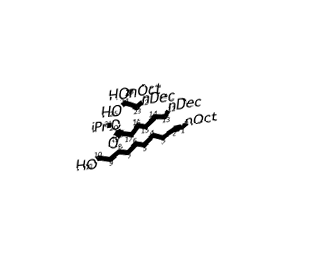 CCCCCCCCC=CCCCCCCCCO.CCCCCCCCCCCCCCCC(=O)OC(C)C.CCCCCCCCCCCCO.CCCCCCCCO